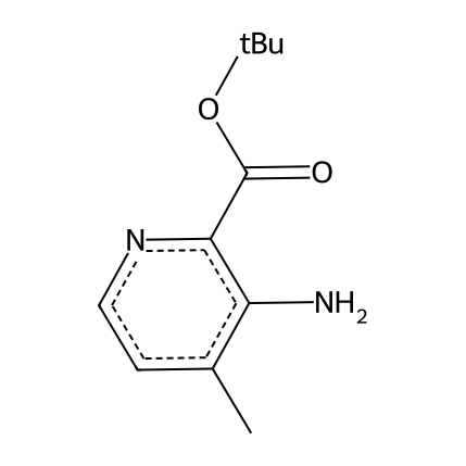 Cc1ccnc(C(=O)OC(C)(C)C)c1N